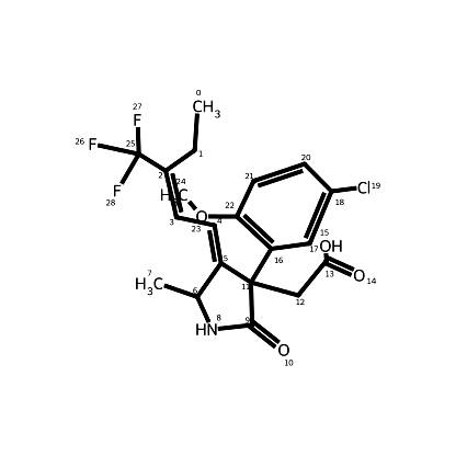 CC/C(=C\C=C1/C(C)NC(=O)C1(CC(=O)O)c1cc(Cl)ccc1OC)C(F)(F)F